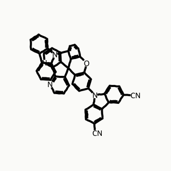 N#Cc1ccc2c(c1)c1cc(C#N)ccc1n2-c1ccc2c(c1)Oc1cccc(-n3c4ccccc4c4ccccc43)c1C21c2cccnc2-c2ncccc21